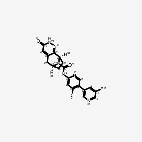 O=C(Nc1cc(Cl)c(-c2cncc(F)c2)cn1)N1[C@H]2CC[C@@H]1c1n[nH]c(=O)cc1C2